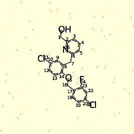 OCc1cccc(Cc2cc(Cl)ccc2OCc2ccc(Cl)cc2F)n1